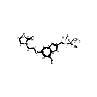 CC(C)(C)[Si](C)(C)OCC1=Cc2cc(OCCN3CCOC3=O)cc(F)c2C1